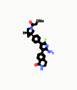 COCC(=O)N1C[C@H]2C[C@@]2(c2ccc(-c3cc(-c4ccc5c(c4)CCNC5=O)c(N)nc3F)cc2)C1